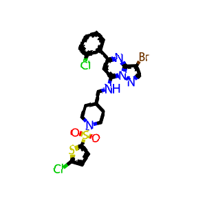 O=S(=O)(c1ccc(Cl)s1)N1CCC(CNc2cc(-c3ccccc3Cl)nc3c(Br)cnn23)CC1